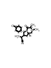 CC(C#N)C1C[C@H]2CN(C)C(C)C(=O)N2[C@H]1c1ccc(Cl)cc1